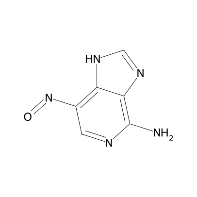 Nc1ncc(N=O)c2[nH]cnc12